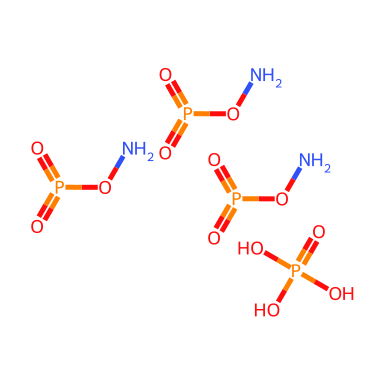 NOP(=O)=O.NOP(=O)=O.NOP(=O)=O.O=P(O)(O)O